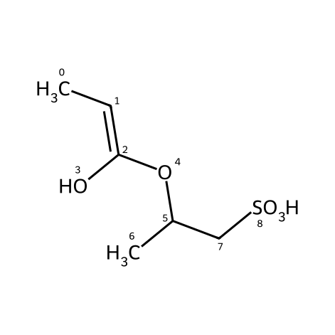 CC=C(O)OC(C)CS(=O)(=O)O